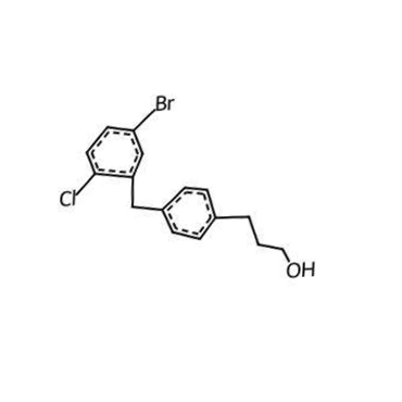 OCCCc1ccc(Cc2cc(Br)ccc2Cl)cc1